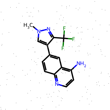 Cn1cc(-c2ccc3nccc(N)c3c2)c(C(F)(F)F)n1